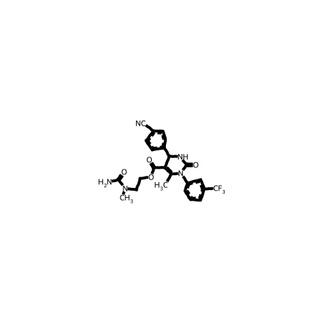 CC1=C(C(=O)OCCN(C)C(N)=O)C(c2ccc(C#N)cc2)NC(=O)N1c1cccc(C(F)(F)F)c1